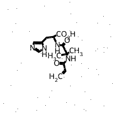 C=CC(=O)NC(C)(C)C(=O)NC(Cc1cnc[nH]1)C(=O)O